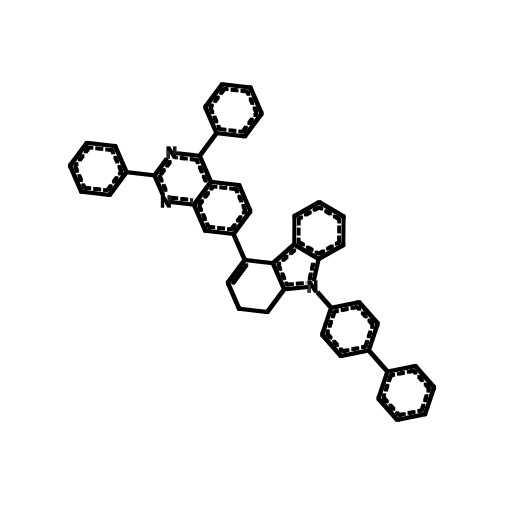 C1=C(c2ccc3c(-c4ccccc4)nc(-c4ccccc4)nc3c2)c2c(n(-c3ccc(-c4ccccc4)cc3)c3ccccc23)CC1